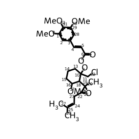 COc1cc(C=CC(=O)OOC2(CCl)CCCC(OC)C2C2(C)OC2CC=C(C)C)cc(OC)c1OC